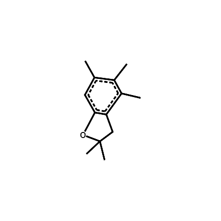 Cc1cc2c(c(C)c1C)CC(C)(C)O2